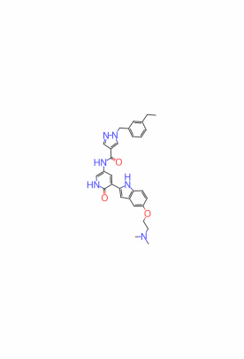 CCc1cccc(Cn2cc(C(=O)Nc3c[nH]c(=O)c(-c4cc5cc(OCCN(C)C)ccc5[nH]4)c3)cn2)c1